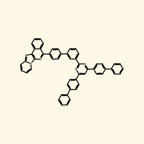 c1ccc(-c2ccc(-c3cc(-c4ccc(-c5ccccc5)cc4)nc(-c4cccc(-c5ccc(-c6nc7c(nc8ccccn87)c7ccccc67)cc5)c4)n3)cc2)cc1